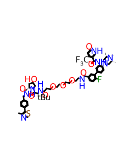 Cc1ncsc1-c1ccc(CNC(=O)[C@@H]2C[C@@H](O)CN2C(=O)[C@@H](NC(=O)CCOCCOCCOCCNC(=O)c2ccc(F)c(-c3ccc(N4C[C@@H](C)N(C)[C@@H](C)C4)c(NC(=O)c4c[nH]c(=O)cc4C(F)(F)F)c3)c2)C(C)(C)C)cc1